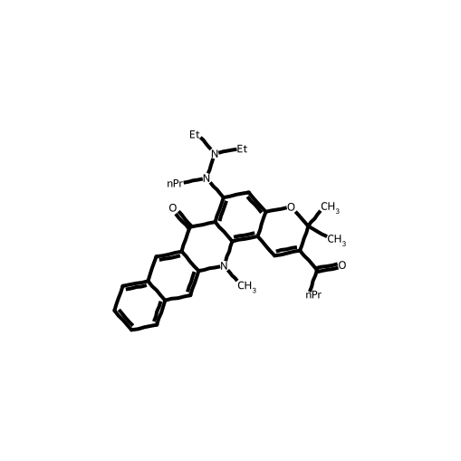 CCCC(=O)C1=Cc2c(cc(N(CCC)N(CC)CC)c3c(=O)c4cc5ccccc5cc4n(C)c23)OC1(C)C